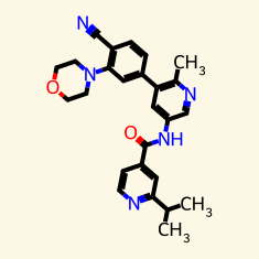 Cc1ncc(NC(=O)c2ccnc(C(C)C)c2)cc1-c1ccc(C#N)c(N2CCOCC2)c1